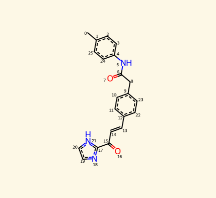 Cc1ccc(NC(=O)Cc2ccc(C=CC(=O)c3ncc[nH]3)cc2)cc1